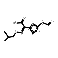 CC(C)CON=C(C(=O)O)c1csc(NC=O)n1